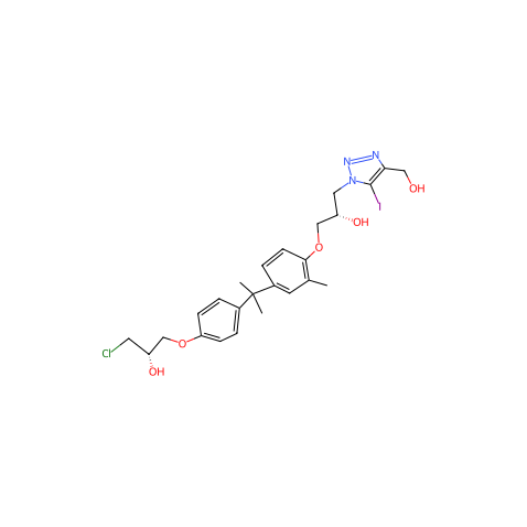 Cc1cc(C(C)(C)c2ccc(OC[C@H](O)CCl)cc2)ccc1OC[C@@H](O)Cn1nnc(CO)c1I